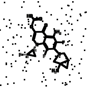 Nc1c(F)c(N2CC3CC3(N)C2)c(F)c2c1c(=O)c(OC(=O)O)cn2[C@@H]1C[C@@H]1F